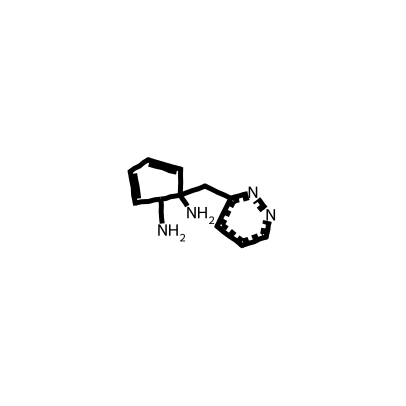 NC1C=CC=CC1(N)Cc1cccnn1